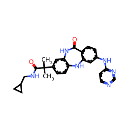 CC(C)(C(=O)NCC1CC1)c1ccc2c(c1)NC(=O)c1ccc(Nc3ccncn3)cc1N2